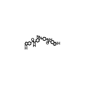 O=C(Nc1ccc(-n2cnc3cc(NC(=O)c4ccc5[nH]ccc5c4)ccc32)cc1)c1ccc2[nH]ccc2c1